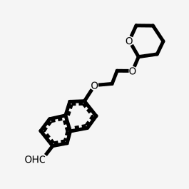 O=Cc1ccc2cc(OCCOC3CCCCO3)ccc2c1